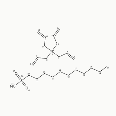 C=CC[N+](CC=C)(CC=C)CC=C.CCCCCCCCCCCS(=O)(=O)O